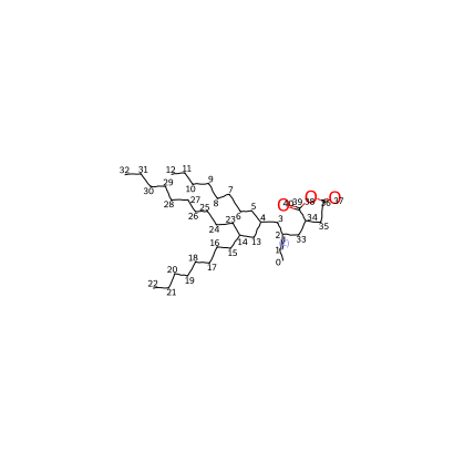 C/C=C(/CC(CCCCCCCC)CC(CCCCCCCC)CCCCCCCCCC)CC1CC(=O)OC1=O